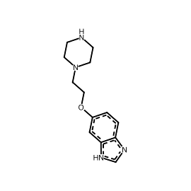 c1nc2ccc(OCCN3CCNCC3)cc2[nH]1